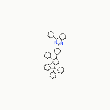 c1ccc(-c2c(-c3ccc(-c4nc(-c5ccccc5)c5ccccc5n4)cc3)ccc3c2-c2ccccc2C3(c2ccccc2)c2ccccc2)cc1